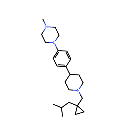 CC(C)CC1(CN2CCC(c3ccc(N4CCN(C)CC4)cc3)CC2)CC1